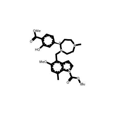 COC(=O)c1ccc([C@H]2CCN(C)CCN2Cc2c(OC)cc(C)c3c2ccn3C(=O)OC(C)(C)C)cc1O